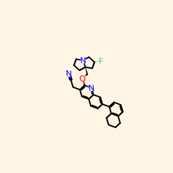 N#CCc1cc2ccc(-c3cccc4c3CCCC4)cc2nc1OC[C@@]12CCCN1C[C@H](F)C2